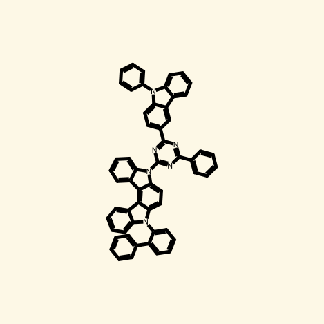 c1ccc(-c2nc(-c3ccc4c(c3)c3ccccc3n4-c3ccccc3)nc(-n3c4ccccc4c4c5c6ccccc6n(-c6ccccc6-c6ccccc6)c5ccc43)n2)cc1